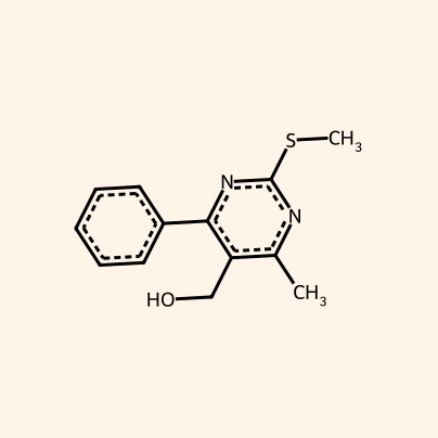 CSc1nc(C)c(CO)c(-c2ccccc2)n1